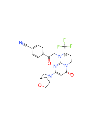 N#Cc1ccc(C(=O)CN2c3nc(N4CC5CC4CO5)cc(=O)n3CC[C@H]2C(F)(F)F)cc1